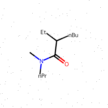 CCCCC(CC)C(=O)N(C)CCC